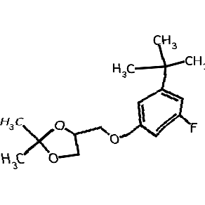 CC1(C)OCC(COc2cc(F)cc(C(C)(C)C)c2)O1